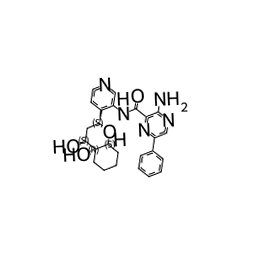 Nc1ncc(-c2ccccc2)nc1C(=O)Nc1cnccc1[C@@H]1C[C@H](O)[C@]2(O)CCCC[C@@H]2O1